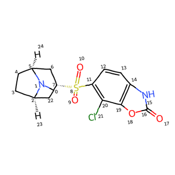 CN1[C@@H]2CC[C@H]1C[C@H](S(=O)(=O)c1ccc3[nH]c(=O)oc3c1Cl)C2